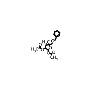 CC(=O)OC1CC(C)(COCc2ccccc2)OC1OC(C)=O